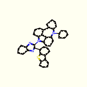 c1ccc(-n2c3ccccc3c3cccc4c3c3c2cccc3n4-c2nc3ccccc3nc2-c2cccc3c2sc2ccccc23)cc1